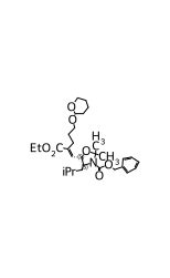 CCOC(=O)C(=C[C@@H]1OC(C)(C)N(C(=O)OCc2ccccc2)[C@H]1CC(C)C)CCCOC1CCCCO1